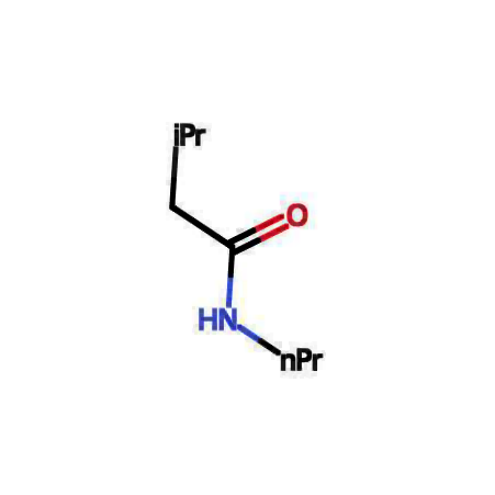 CCCNC(=O)CC(C)C